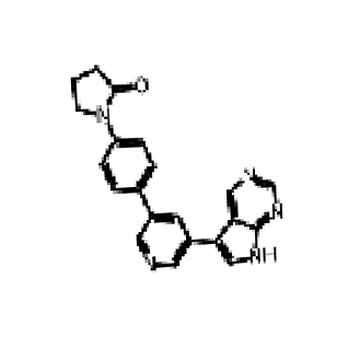 O=C1CCCN1c1ccc(-c2cncc(-c3c[nH]c4ncncc34)c2)cc1